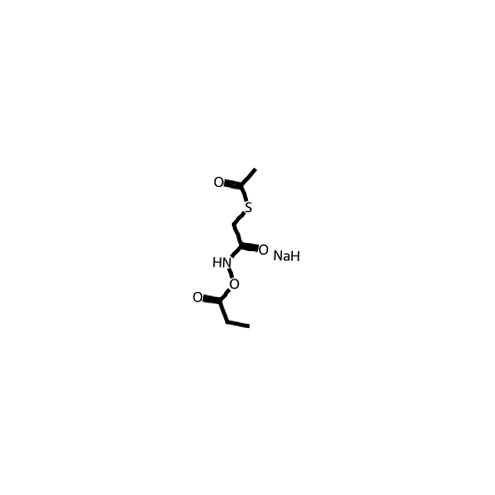 CCC(=O)ONC(=O)CSC(C)=O.[NaH]